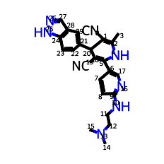 [C-]#[N+]C1=C(C)NC(c2ccc(NCCN(C)C)nc2)=C(C#N)C1c1ccc2[nH]ncc2c1